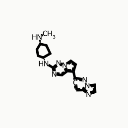 CN[C@H]1CC[C@H](Nc2ncc3c(-c4ccc5nccn5n4)ccn3n2)CC1